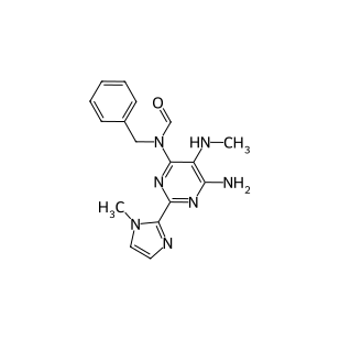 CNc1c(N)nc(-c2nccn2C)nc1N(C=O)Cc1ccccc1